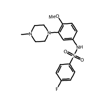 COc1ccc(NS(=O)(=O)c2ccc(F)cc2)cc1N1CCN(C)CC1